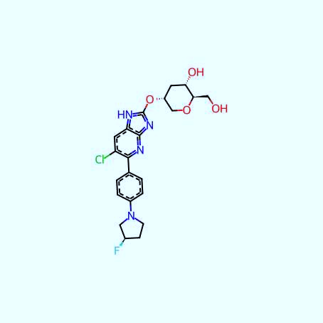 OC[C@H]1OC[C@H](Oc2nc3nc(-c4ccc(N5CC[C@@H](F)C5)cc4)c(Cl)cc3[nH]2)C[C@@H]1O